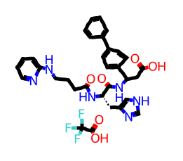 O=C(O)C(F)(F)F.O=C(O)CC(NC(=O)[C@H](Cc1c[nH]cn1)NC(=O)CCCNc1ccccn1)c1ccc(-c2ccccc2)cc1